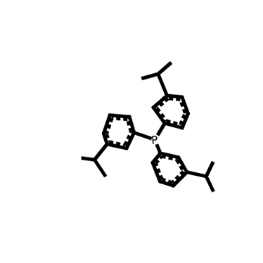 CC(C)c1cccc(P(c2cccc(C(C)C)c2)c2cccc(C(C)C)c2)c1